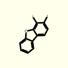 Ic1ccc2c(oc3ccccc32)c1I